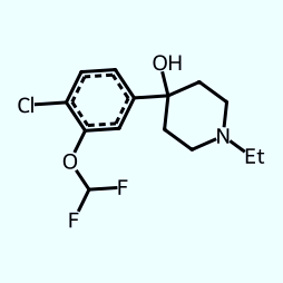 CCN1CCC(O)(c2ccc(Cl)c(OC(F)F)c2)CC1